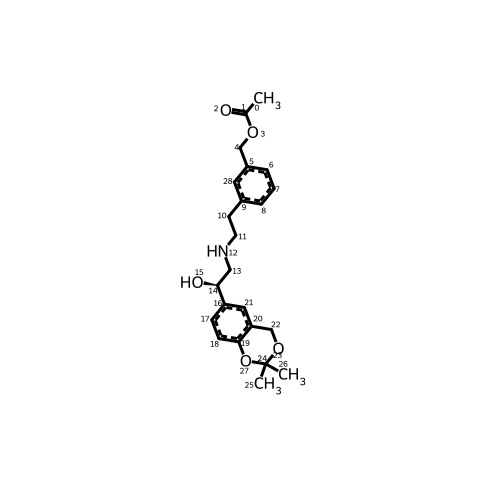 CC(=O)OCc1cccc(CCNC[C@H](O)c2ccc3c(c2)COC(C)(C)O3)c1